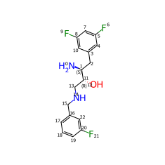 N[C@@H](Cc1cc(F)cc(F)c1)[C@H](O)CNCc1cccc(F)c1